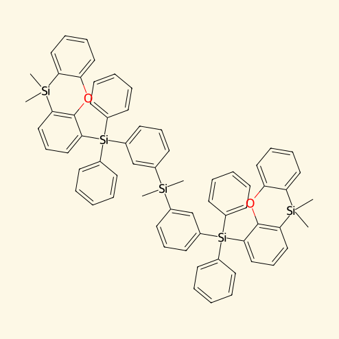 C[Si](C)(c1cccc([Si](c2ccccc2)(c2ccccc2)c2cccc3c2Oc2ccccc2[Si]3(C)C)c1)c1cccc([Si](c2ccccc2)(c2ccccc2)c2cccc3c2Oc2ccccc2[Si]3(C)C)c1